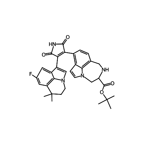 CC(C)(C)OC(=O)C1Cn2ccc3c(C4=C(c5cn6c7c(cc(F)cc57)C(C)(C)CC6)C(=O)NC4=O)ccc(c32)CN1